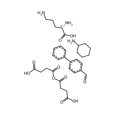 NC1CCCCC1.NCCC[C@H](N)C(=O)O.O=C(O)CCC(=O)OC(=O)CCC(=O)O.O=Cc1ccc(-c2ccccc2)cc1